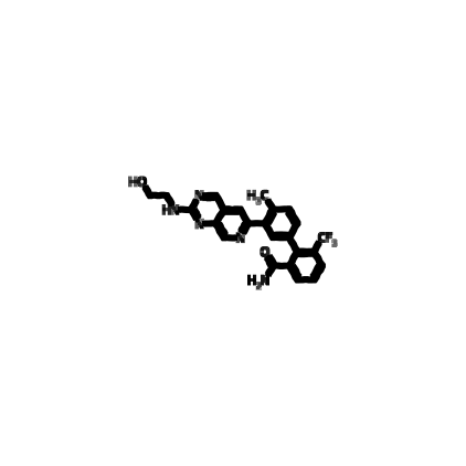 Cc1ccc(-c2c(C(N)=O)cccc2C(F)(F)F)cc1-c1cc2cnc(NCCO)nc2cn1